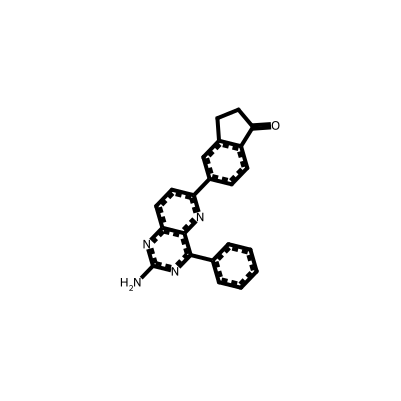 Nc1nc(-c2ccccc2)c2nc(-c3ccc4c(c3)CCC4=O)ccc2n1